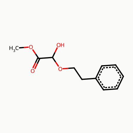 COC(=O)C(O)OCCc1ccccc1